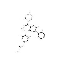 Cc1cc(NC(=O)OC(C)(C)C)nc(C(C)C)c1N1c2nc(-c3ccccc3F)c(Cl)cc2C(N2C[C@@H](C)N(C(=O)O)C[C@@H]2C)=NS1(=O)=O